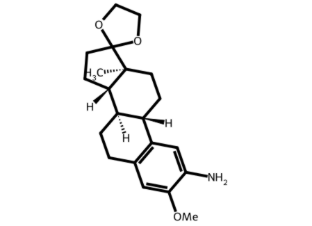 COc1cc2c(cc1N)[C@H]1CC[C@@]3(C)[C@@H](CCC34OCCO4)[C@@H]1CC2